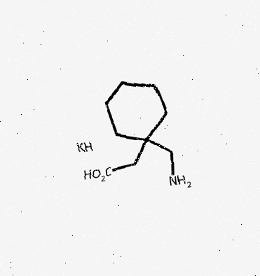 NCC1(CC(=O)O)CCCCC1.[KH]